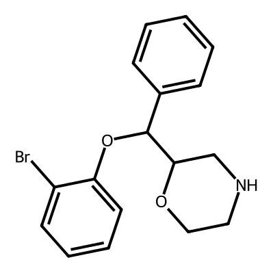 Brc1ccccc1OC(c1ccccc1)C1CNCCO1